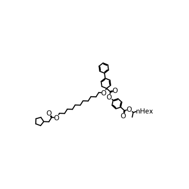 CCCCCCC(C)OC(=O)c1ccc(OC(=O)C2(OCCCCCCCCCCCOC(=O)CC3CCCC3)C=CC(c3ccccc3)=CC2)cc1